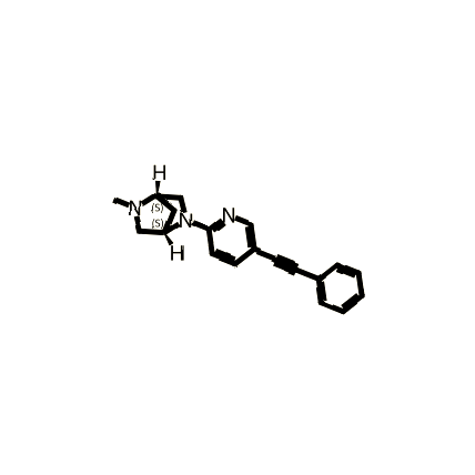 CN1C[C@@H]2C[C@H]1CN2c1ccc(C#Cc2ccccc2)cn1